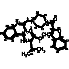 COC(=O)[C@@H](Nc1nc(CN2CCN(C(=O)c3cc4ccccc4o3)CC2)nc2ccccc12)C(C)C